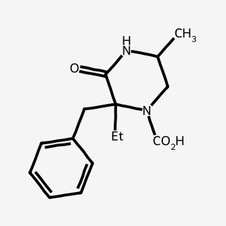 CCC1(Cc2ccccc2)C(=O)NC(C)CN1C(=O)O